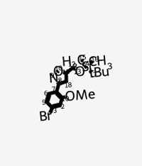 COc1cc(Br)ccc1C1=NOC(CO[Si](C)(C)C(C)(C)C)C1